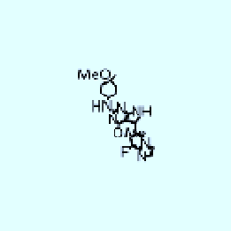 COc1nc(NC2CCC(C)(OC)CC2)nc2[nH]cc(-c3cc(F)c4nccn4c3)c12